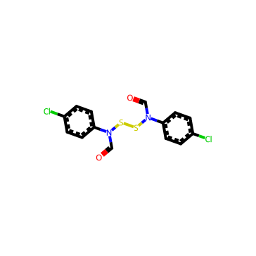 O=CN(SSN(C=O)c1ccc(Cl)cc1)c1ccc(Cl)cc1